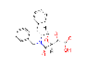 O=C(O)[C@H]1O[C@H]2O[C@@H]1C(=O)N(Cc1ccccc1)[C@@H]2Cc1ccccc1